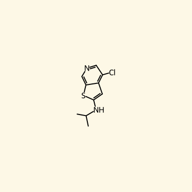 CC(C)Nc1cc2c(Cl)cncc2s1